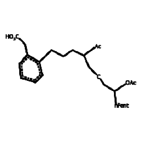 CCCCCC(CCCC(CCCc1ccccc1CC(=O)O)C(C)=O)OC(C)=O